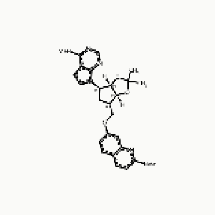 CNc1ccc2ccc(OC[C@H]3C[C@@H](n4ccc5c(NC)ncnc54)[C@@H]4OC(C)(C)O[C@H]34)cc2n1